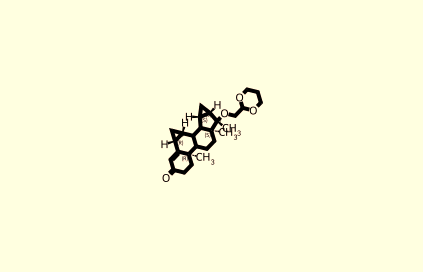 C[C@]12CCC(=O)C=C1[C@@H]1C[C@@H]1C1C2CC[C@@]2(C)C1[C@@H]1C[C@@H]1[C@]2(C)OCC1OCCCO1